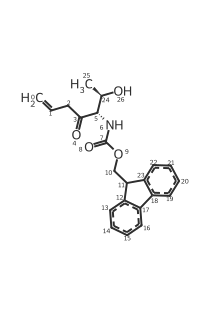 C=CCC(=O)[C@@H](NC(=O)OCC1c2ccccc2-c2ccccc21)[C@@H](C)O